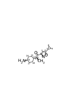 CN(C(=O)c1cc(C2CC2)on1)C1CCC(N)CC1